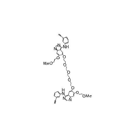 C#Cc1cccc(Nc2ncnc3cc(OCCOC)c(OCCOCCOCCOCCOc4cc5c(Nc6cccc(C#C)c6)ncnc5cc4OCCOC)cc23)c1